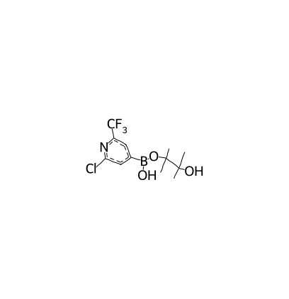 CC(C)(O)C(C)(C)OB(O)c1cc(Cl)nc(C(F)(F)F)c1